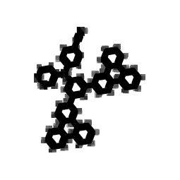 N#Cc1ccc(N(c2ccnnc2)c2cc(-c3ccc4c5ccccc5c5ccccc5c4c3)cc(-c3ccc4c5ccccc5c5ccccc5c4c3)c2)cc1